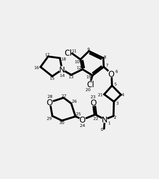 CN(CC1CC(Oc2ccc(Cl)c(CN3CCCC3)c2Cl)C1)C(=O)OC1CCOCC1